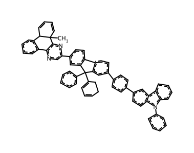 CC12C=CC=CC1c1ccccc1-c1ncc(-c3ccc4c(c3)C(C3=CC=CCC3)(c3ccccc3)c3cc(-c5ccc(-c6ccc7c(c6)c6ccccc6n7-c6ccccc6)cc5)ccc3-4)nc12